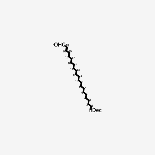 CCCCCCCCCCCCCCCCCCCCCCCCCCC/C=C/C=C/[C]=O